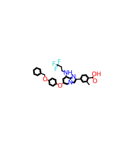 Cc1cc(-c2cn3cc(Oc4ccc(OCc5ccccc5)cc4)cc(NCCC(F)(F)F)c3n2)ccc1C(=O)O